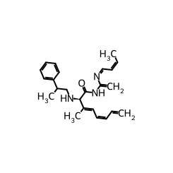 C=C/C=C\C=C(/C)[C@@H](NCC(C)c1ccccc1)C(=O)NC(=C)/N=C\C=C/C